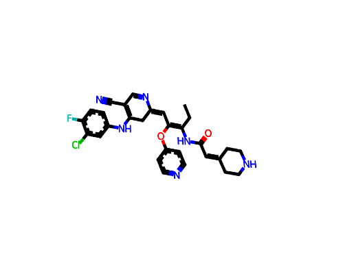 CC/C(NC(=O)C=C1CCNCC1)=C(\C=C1/CC(Nc2ccc(F)c(Cl)c2)=C(C#N)C=N1)Oc1ccncc1